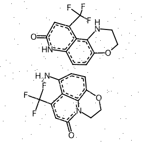 Nc1ccc2c3c1c(C(F)(F)F)cc(=O)n3CCO2.O=c1cc(C(F)(F)F)c2c3c(ccc2[nH]1)OCCN3